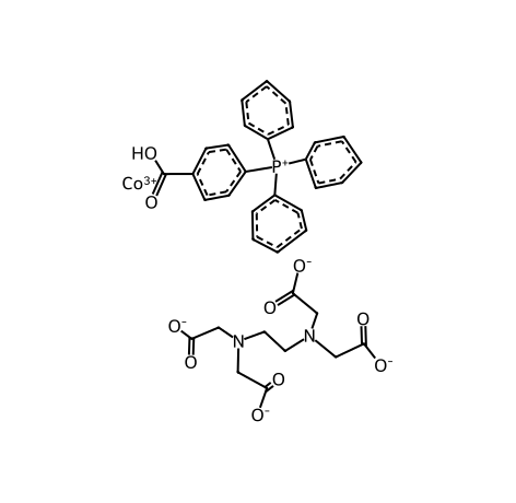 O=C(O)c1ccc([P+](c2ccccc2)(c2ccccc2)c2ccccc2)cc1.O=C([O-])CN(CCN(CC(=O)[O-])CC(=O)[O-])CC(=O)[O-].[Co+3]